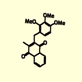 COc1ccc(CC2=C(C)C(=O)C3C=CC=CC3C2=O)c(OC)c1OC